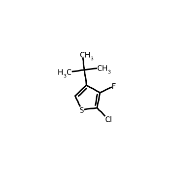 CC(C)(C)c1csc(Cl)c1F